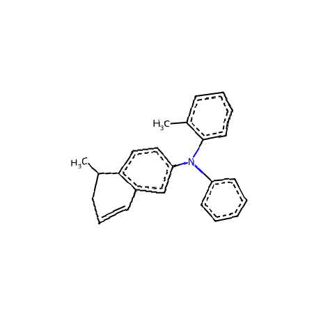 Cc1ccccc1N(c1ccccc1)c1ccc2c(c1)C=CCC2C